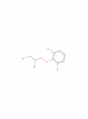 Clc1c[c]cc(Cl)c1OCC(Br)CBr